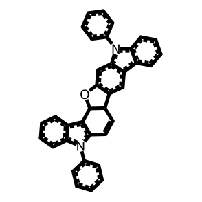 C1=CC2c3cc4c5ccccc5n(-c5ccccc5)c4cc3OC2c2c1n(-c1ccccc1)c1ccccc21